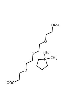 CCCC[N+]1(C)CCCC1.COCCOCCOCCOCCC(=O)[O-]